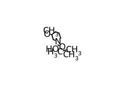 COC1CCCN(C(O)OC(C)(C)C)C1